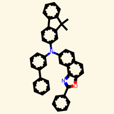 CC1(C)c2ccccc2-c2ccc(N(c3cccc(-c4ccccc4)c3)c3ccc4ccc5oc(-c6ccccc6)nc5c4c3)cc21